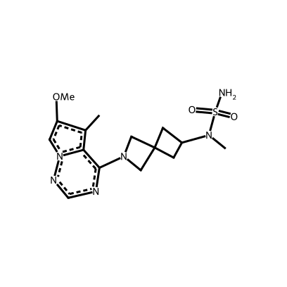 COc1cn2ncnc(N3CC4(CC(N(C)S(N)(=O)=O)C4)C3)c2c1C